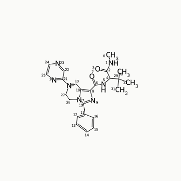 CNC(=O)C(NC(=O)c1nc(-c2ccccc2)n2c1CN(c1cnccn1)CC2)C(C)(C)C